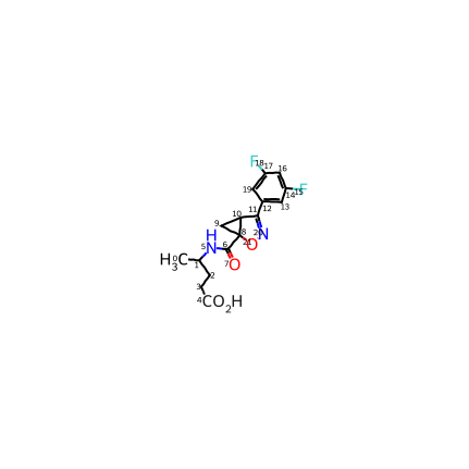 CC(CCC(=O)O)NC(=O)C12CC1C(c1cc(F)cc(F)c1)=NO2